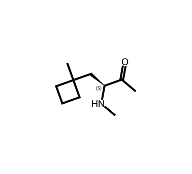 CN[C@@H](CC1(C)CCC1)C(C)=O